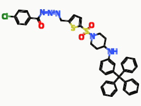 O=C(N=[N+]=NCc1ccc(S(=O)(=O)N2CCC(Nc3cccc(C(c4ccccc4)(c4ccccc4)c4ccccc4)c3)CC2)s1)c1ccc(Cl)cc1